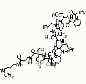 CCCCCCCCC(NC(=O)[C@@H]1CCCN1C(=O)CCCCC)C(=O)NC(CC(C)C)C(=O)NC(C)(C)C(=O)NC(CC(C)C)C(=O)NC(CC(C)C)C(=O)NC(C)(C)C(=O)NC(C)(C)C(=O)NCCC(=O)NCCCN(C)C